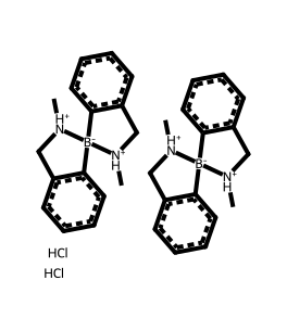 C[NH+]1Cc2ccccc2[B-]12c1ccccc1C[NH+]2C.C[NH+]1Cc2ccccc2[B-]12c1ccccc1C[NH+]2C.Cl.Cl